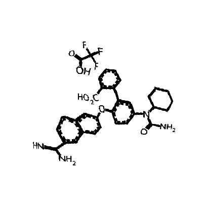 N=C(N)c1ccc2cc(Oc3ccc(N(C(N)=O)C4CCCCC4)cc3-c3ccccc3C(=O)O)ccc2c1.O=C(O)C(F)(F)F